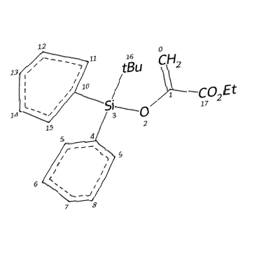 C=C(O[Si](c1ccccc1)(c1ccccc1)C(C)(C)C)C(=O)OCC